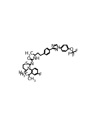 CC(CCc1ccc(-c2ncn(-c3ccc(OC(F)(F)F)cc3)n2)cc1)NC(=O)/N=C1\SCCC(C)N1c1ccc(F)cc1C(C)C